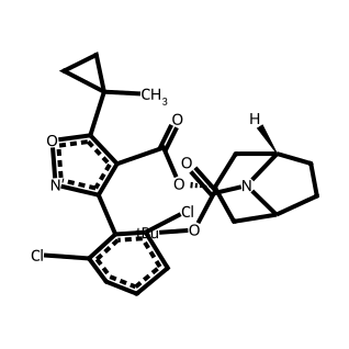 CC(C)(C)OC(=O)N1C2CC[C@H]1C[C@@H](OC(=O)c1c(-c3c(Cl)cccc3Cl)noc1C1(C)CC1)C2